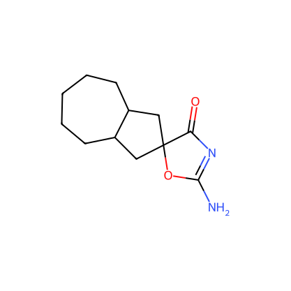 NC1=NC(=O)C2(CC3CCCCCC3C2)O1